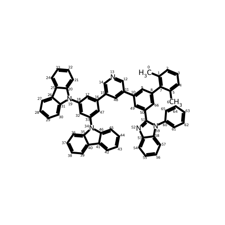 Cc1cccc(C)c1-c1cc(-c2cncc(-c3cc(-n4c5ccccc5c5ccccc54)cc(-n4c5ccccc5c5ccccc54)c3)c2)cc(-c2nc3ccccc3n2-c2ccccc2)c1